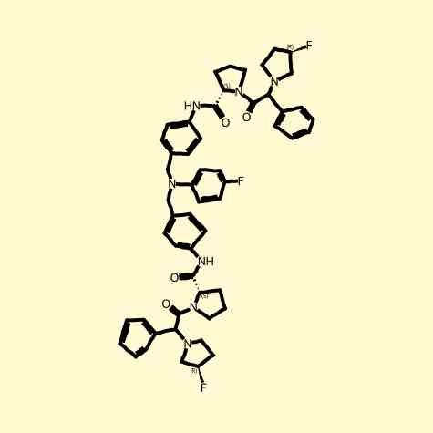 O=C(Nc1ccc(CN(Cc2ccc(NC(=O)[C@@H]3CCCN3C(=O)C(c3ccccc3)N3CC[C@@H](F)C3)cc2)c2ccc(F)cc2)cc1)[C@@H]1CCCN1C(=O)C(c1ccccc1)N1CC[C@@H](F)C1